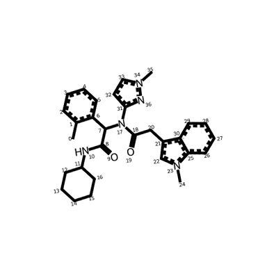 Cc1ccccc1C(C(=O)NC1CCCCC1)N(C(=O)Cc1cn(C)c2ccccc12)c1ccn(C)n1